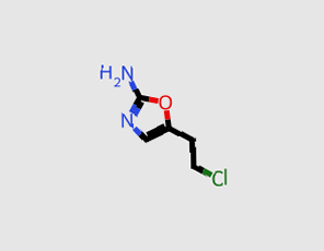 Nc1ncc(CCCl)o1